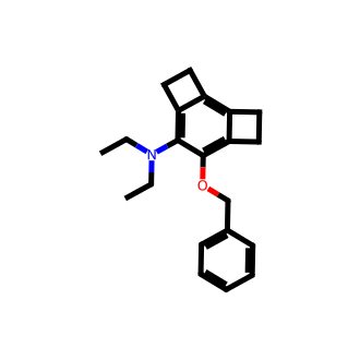 CCN(CC)c1c2c(c3c(c1OCc1ccccc1)CC3)CC2